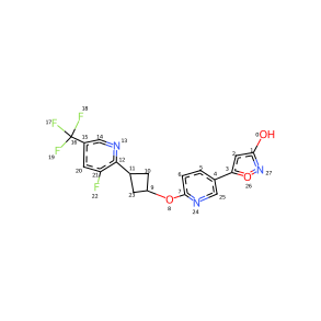 Oc1cc(-c2ccc(OC3CC(c4ncc(C(F)(F)F)cc4F)C3)nc2)on1